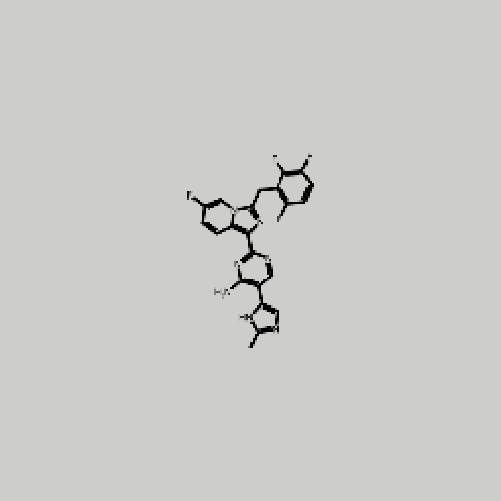 Cc1ncc(-c2cnc(-c3nc(Cc4c(F)ccc(F)c4F)n4cc(F)ccc34)nc2N)[nH]1